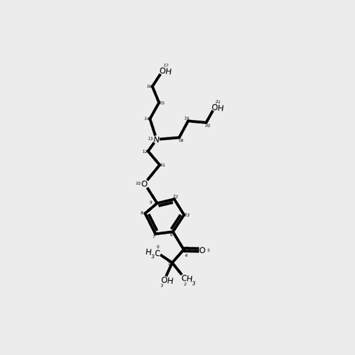 CC(C)(O)C(=O)c1ccc(OCCN(CCCO)CCCO)cc1